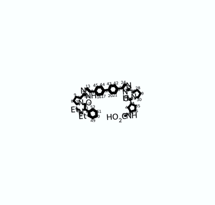 CCN(CC)C(C(=O)N1CCCC1c1ncc(-c2ccc(-c3ccc(-c4cnc([C@@H]5CCCN5C(=O)[C@H]5CC[C@@H](NC(=O)O)C5)[nH]4)cc3)cc2)[nH]1)c1ccccc1